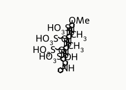 COc1ccc(N=Nc2cc(OCCCS(=O)(=O)O)c(N=Nc3cc(OCCCS(=O)(=O)O)c(N=Nc4c(S(=O)(=O)O)cc5cc(Nc6ccccc6)ccc5c4O)cc3C)cc2C)c(S(=O)(=O)O)c1